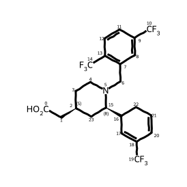 O=C(O)C[C@H]1CCN(Cc2cc(C(F)(F)F)ccc2C(F)(F)F)[C@@H](C2C=C(C(F)(F)F)C=CC2)C1